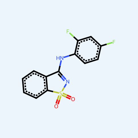 O=S1(=O)N=C(Nc2ccc(F)cc2F)c2ccccc21